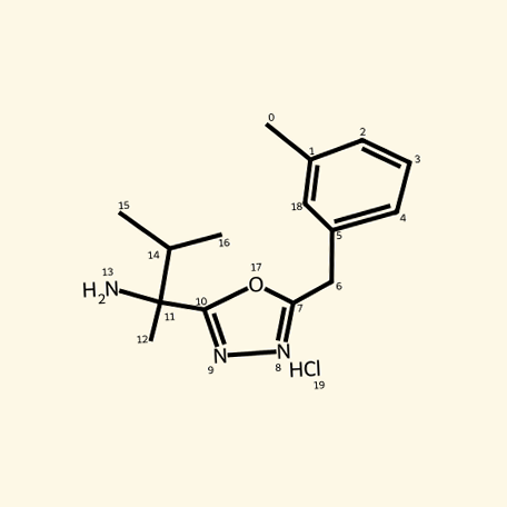 Cc1cccc(Cc2nnc(C(C)(N)C(C)C)o2)c1.Cl